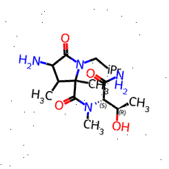 CC(C)CN1C(=O)C(N)C(C)C1(C)C(=O)N(C)[C@H](C(N)=O)[C@@H](C)O